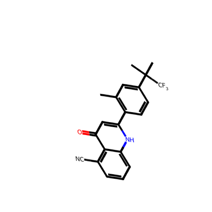 Cc1cc(C(C)(C)C(F)(F)F)ccc1-c1cc(=O)c2c(C#N)cccc2[nH]1